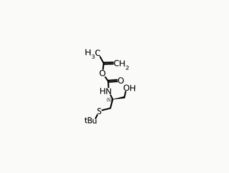 C=C(C)OC(=O)N[C@@H](CO)CSC(C)(C)C